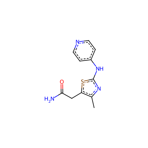 Cc1nc(Nc2ccncc2)sc1CC(N)=O